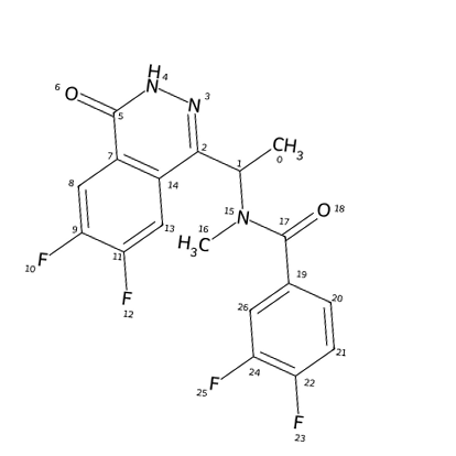 CC(c1n[nH]c(=O)c2cc(F)c(F)cc12)N(C)C(=O)c1ccc(F)c(F)c1